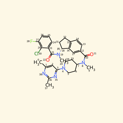 Cc1cc(N2CCC(N(C)C(=O)c3ccc4c(c3)[C@H](N(C)C(=O)c3cccc(F)c3Cl)CC4)CC2)nc(C)n1